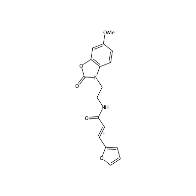 COc1ccc2c(c1)oc(=O)n2CCNC(=O)/C=C/c1ccco1